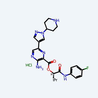 CC(C)[C@@H](OC(=O)c1nc(-c2cnn(C3CCNCC3)c2)cnc1N)C(=O)Nc1ccc(F)cc1.Cl